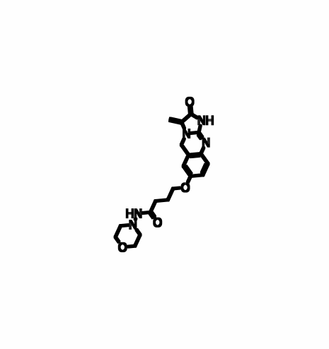 C=c1c(=O)[nH]c2n1Cc1cc(OCCCC(=O)NN3CCOCC3)ccc1N=2